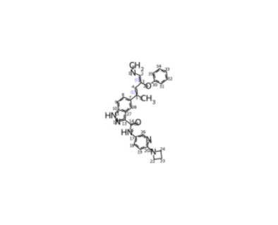 C=N/C=C(\C=C(/C)c1ccc2[nH]nc(C(=O)Nc3ccc(N4CCC4)nc3)c2c1)Oc1ccccc1